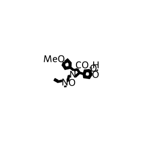 C=CCN(C)C(=O)CN1CC(c2ccc3c(c2)OCO3)C(C(=O)O)C1c1ccc(OC)cc1